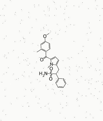 COc1ccc(C(=O)c2ccc(CC(c3ccccc3)S(N)(=O)=O)n2C)c(C)c1